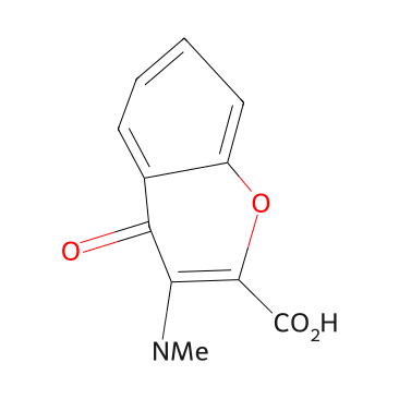 CNc1c(C(=O)O)oc2ccccc2c1=O